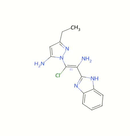 CCc1cc(N)n(/C(Cl)=C(\N)c2nc3ccccc3[nH]2)n1